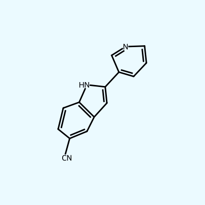 N#Cc1ccc2[nH]c(-c3cccnc3)cc2c1